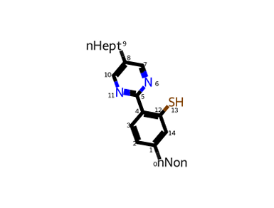 CCCCCCCCCc1ccc(-c2ncc(CCCCCCC)cn2)c(S)c1